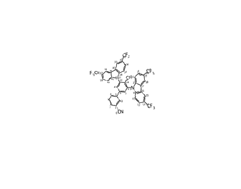 N#Cc1cccc(-c2cc(-n3c4ccc(C(F)(F)F)cc4c4cc(C(F)(F)F)ccc43)c(C#N)c(-n3c4ccc(C(F)(F)F)cc4c4cc(C(F)(F)F)ccc43)c2)c1